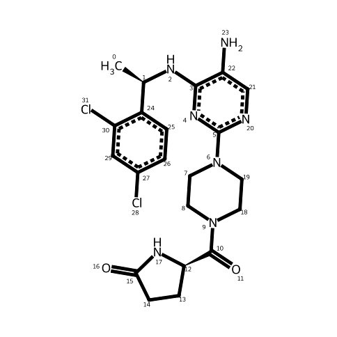 C[C@@H](Nc1nc(N2CCN(C(=O)[C@H]3CCC(=O)N3)CC2)ncc1N)c1ccc(Cl)cc1Cl